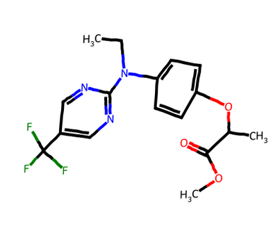 CCN(c1ccc(OC(C)C(=O)OC)cc1)c1ncc(C(F)(F)F)cn1